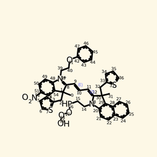 CC1(Cc2cccs2)C(/C=C/C=C2\N(CCPOOO)c3ccc4ccccc4c3C2(C)Cc2cccs2)=[N+](CCOc2ccccc2)c2ccc([N+](=O)[O-])cc21